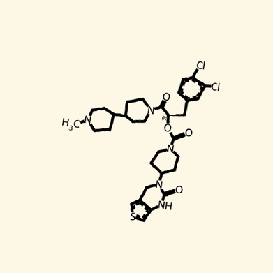 CN1CCC(C2CCN(C(=O)[C@@H](Cc3ccc(Cl)c(Cl)c3)OC(=O)N3CCC(N4Cc5cscc5NC4=O)CC3)CC2)CC1